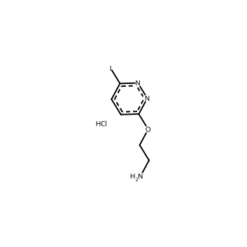 Cl.NCCOc1ccc(I)nn1